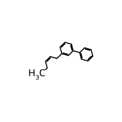 CC/C=C\Cc1cccc(-c2ccccc2)c1